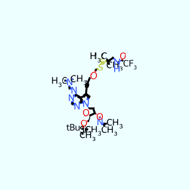 CC(C)=NO[C@@H]1C[C@H](n2cc(C#CCOCSSC(C)(C)CNC(=O)C(F)(F)F)c3c(/N=C/N(C)C)ncnc32)O[C@@H]1CO[Si](C)(C)C(C)(C)C